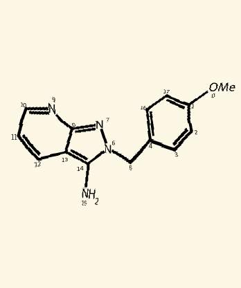 COc1ccc(Cn2nc3ncccc3c2N)cc1